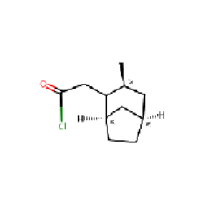 C[C@H]1C[C@H]2CC[C@H](C2)C1CC(=O)Cl